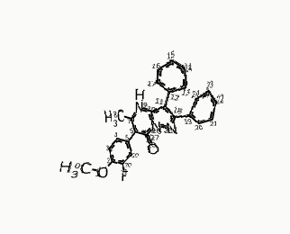 COc1ccc(-c2c(C)[nH]c3c(-c4ccccc4)c(-c4ccccc4)nn3c2=O)cc1F